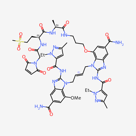 CCn1nc(C)cc1C(=O)Nc1nc2cc(C(N)=O)cc(OC)c2n1C/C=C/Cn1c(NC(=O)c2cc(C)nn2CC)nc2cc(C(N)=O)cc(OCCCNC(=O)[C@H](C)NC(=O)[C@H](CCS(C)(=O)=O)NC(=O)CN3C(=O)C=CC3=O)c21